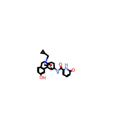 CN(C(=O)c1cccc(=O)[nH]1)C1CCC23CCC1C21CCN(CC2CC2)C3Cc2ccc(O)cc21